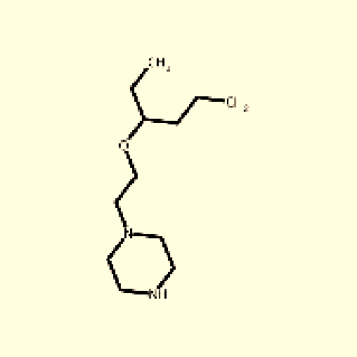 CCCC(CC)OCCN1CCNCC1